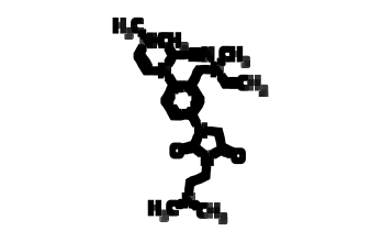 C=CN(C)Cc1cc(N2CC(=O)N(CCN(C)C)C2=O)ccc1N(/C=C\NC)C(C)C#N